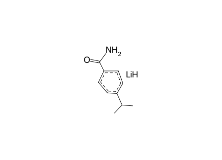 CC(C)c1ccc(C(N)=O)cc1.[LiH]